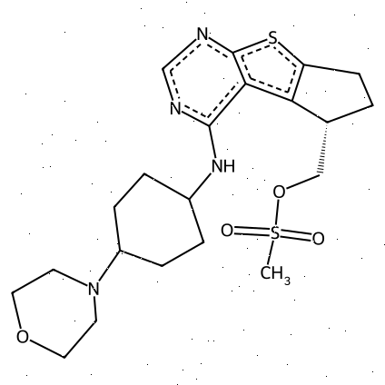 CS(=O)(=O)OC[C@H]1CCc2sc3ncnc(NC4CCC(N5CCOCC5)CC4)c3c21